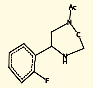 CC(=O)N1CCNC(c2ccccc2F)C1